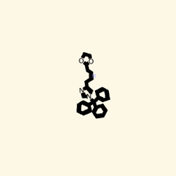 C(=C/CC1OCCO1)/Cc1cn(C(c2ccccc2)(c2ccccc2)c2ccccc2)cn1